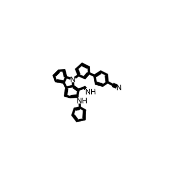 N#Cc1ccc(-c2cccc(-n3c4ccccc4c4ccc(Nc5ccccc5)c(C=N)c43)c2)cc1